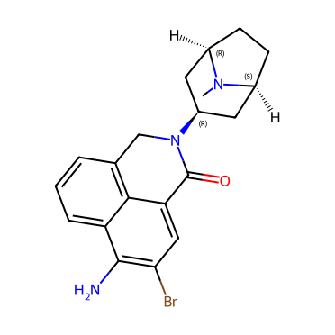 CN1[C@@H]2CC[C@H]1C[C@@H](N1Cc3cccc4c(N)c(Br)cc(c34)C1=O)C2